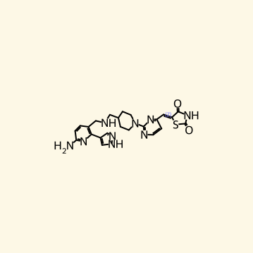 Nc1ccc(CNCC2CCN(c3nccc(/C=C4\SC(=O)NC4=O)n3)CC2)c(-c2cn[nH]c2)n1